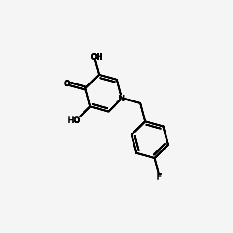 O=c1c(O)cn(Cc2ccc(F)cc2)cc1O